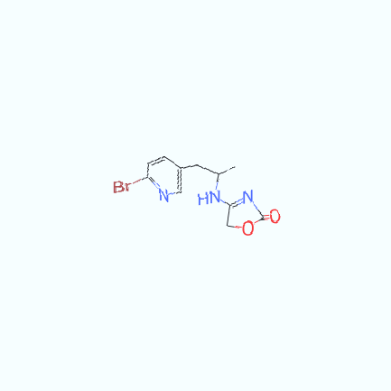 CC(Cc1ccc(Br)nc1)NC1=NC(=O)OC1